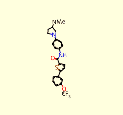 CNC1CCN(c2ccc(NC(=O)c3ccc(-c4cccc(OC(F)(F)F)c4)s3)cc2)C1